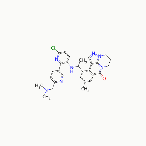 Cc1cc(C(C)Nc2ccc(Cl)nc2-c2ccc(CN(C)C)nc2)c2c(c1)c(=O)n1c3c2cnn3CCC1